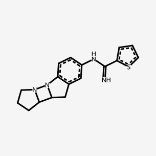 N=C(Nc1ccc2c(c1)CC1C3CCCN3N21)c1cccs1